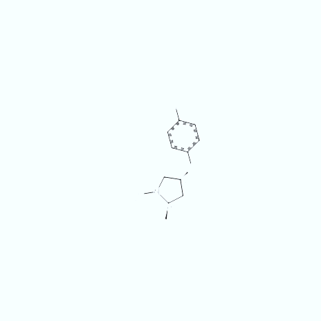 C[C@@H]1C[C@H](Oc2ccc(Cl)cc2)CN1C(=O)O